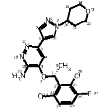 C[C@@H](Oc1cc(-c2cnn(C3CCOCC3)c2)nnc1N)c1c(Cl)ccc(F)c1Cl